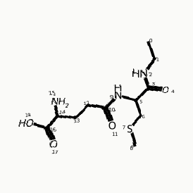 CCNC(=O)C(CSC)NC(=O)CCC(N)C(=O)O